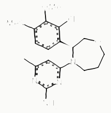 COc1c(SC)ccc([C@H]2COCCCN2c2cc(C)nc(N)n2)c1Cl